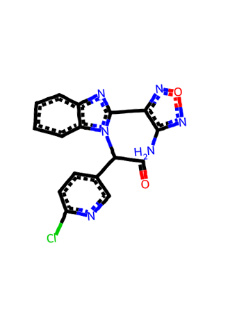 Nc1nonc1-c1nc2ccccc2n1C(C=O)c1ccc(Cl)nc1